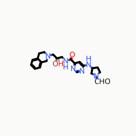 O=CN1CCC(Nc2cc(C(=O)NC[C@H](O)CN3CCc4ccccc4C3)ncn2)C1